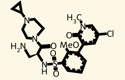 COc1c(-c2cc(Cl)cn(C)c2=O)cccc1S(=O)(=O)N[C@@H](CN)C(=O)N1CCN(C2CC2)CC1